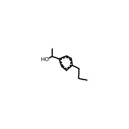 CCCc1ccc(C(C)O)cc1